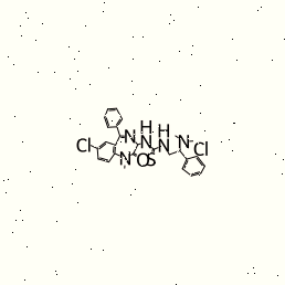 CN1C(=O)C(NC(=S)NCC(c2ccccc2Cl)N(C)C)N=C(c2ccccc2)c2cc(Cl)ccc21